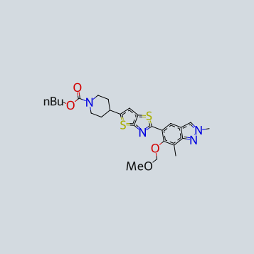 CCCCOC(=O)N1CCC(c2cc3sc(-c4cc5cn(C)nc5c(C)c4OCOC)nc3s2)CC1